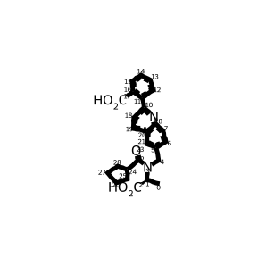 C[C@@H](C(=O)O)N(Cc1ccc2nc(-c3ccccc3C(=O)O)ccc2c1)C(=O)C1CCCC1